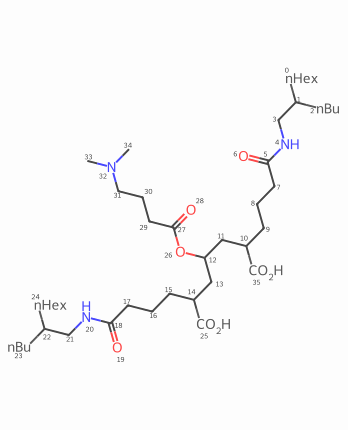 CCCCCCC(CCCC)CNC(=O)CCCC(CC(CC(CCCC(=O)NCC(CCCC)CCCCCC)C(=O)O)OC(=O)CCCN(C)C)C(=O)O